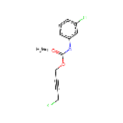 O=C(Nc1cccc(Cl)c1)OCC#CCCl.[MgH2]